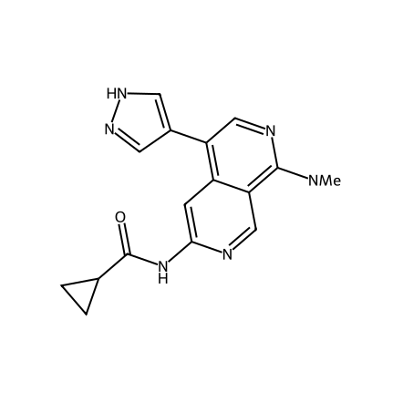 CNc1ncc(-c2cn[nH]c2)c2cc(NC(=O)C3CC3)ncc12